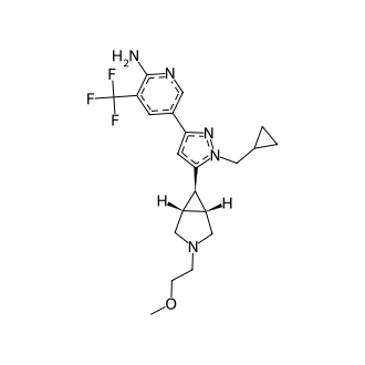 COCCN1C[C@@H]2[C@H](C1)[C@H]2c1cc(-c2cnc(N)c(C(F)(F)F)c2)nn1CC1CC1